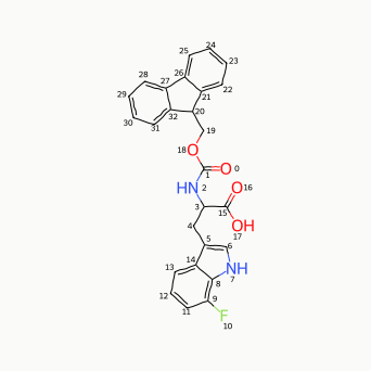 O=C(NC(Cc1c[nH]c2c(F)cccc12)C(=O)O)OCC1c2ccccc2-c2ccccc21